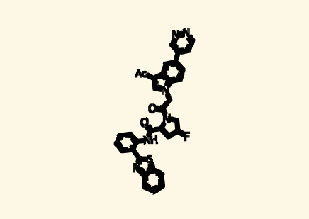 CC(=O)c1cn(CC(=O)N2CC(F)CC2C(=O)Nc2ccccc2-c2nc3ccccc3s2)c2ccc(-c3ccnnc3)cc12